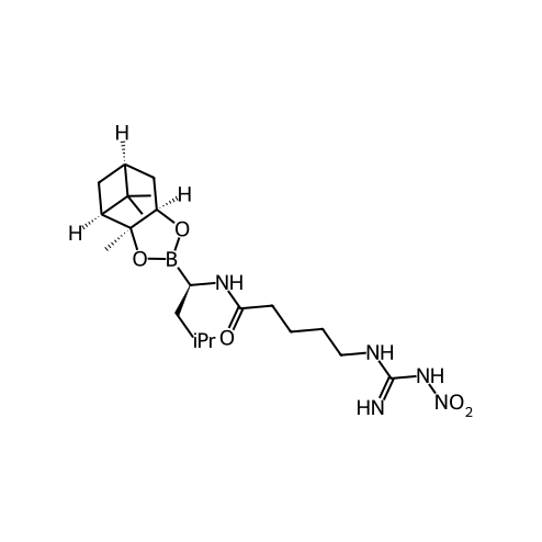 CC(C)C[C@H](NC(=O)CCCCNC(=N)N[N+](=O)[O-])B1O[C@@H]2C[C@@H]3C[C@@H](C3(C)C)[C@]2(C)O1